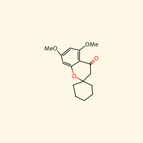 COc1cc(OC)c2c(c1)OC1(CCCCC1)CC2=O